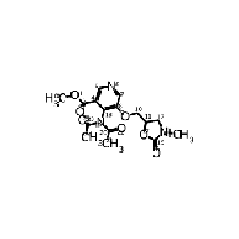 COC(=O)c1cncc(OCC2CN(C)C(=O)O2)c1N(C(C)=O)C(C)=O